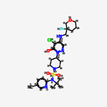 [2H]C([2H])([2H])N(c1ccc(C#N)cn1)S(=O)(=O)N1CCC(n2ncc(NC[C@@]3(F)CCCOC3)c(Cl)c2=O)CC1